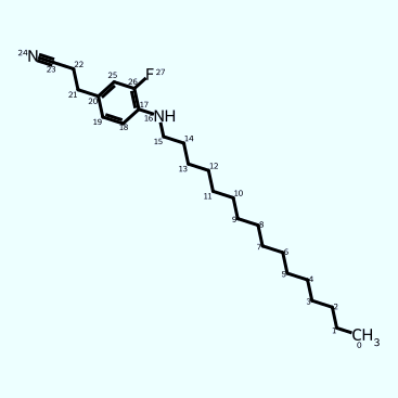 CCCCCCCCCCCCCCCCNc1ccc(CCC#N)cc1F